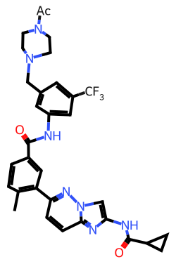 CC(=O)N1CCN(Cc2cc(NC(=O)c3ccc(C)c(-c4ccc5nc(NC(=O)C6CC6)cn5n4)c3)cc(C(F)(F)F)c2)CC1